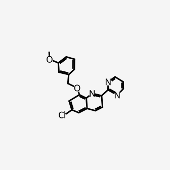 COc1cccc(COc2cc(Cl)cc3ccc(-c4ncccn4)nc23)c1